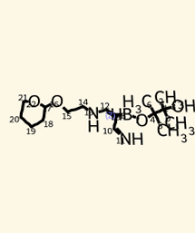 CC(C)(O)C(C)(C)OB/C(C=N)=C/NCCOC1CCCCO1